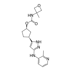 Cc1ncccc1Nc1cc([C@H]2CC[C@@H](OC(=O)NC3(C)COC3)C2)[nH]n1